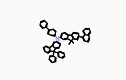 CC1(C)c2cc(-c3cccc4ccccc34)ccc2-c2ccc(N(c3ccc(-c4ccccc4)cc3)c3ccc4c(c3)-c3ccccc3C4(c3ccccc3)c3ccccc3)cc21